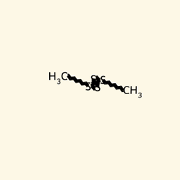 CCCCCCCCSc1csc2c(SCCCCCCCC)csc12